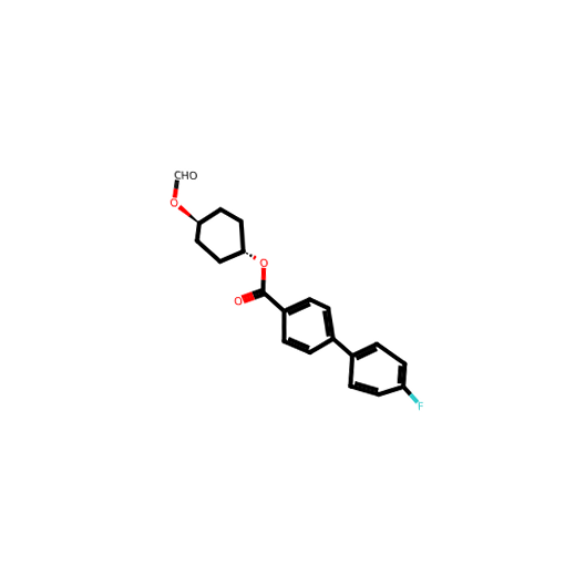 O=CO[C@H]1CC[C@H](OC(=O)c2ccc(-c3ccc(F)cc3)cc2)CC1